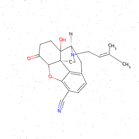 CC(C)=CCN1CC[C@]23c4c5ccc(C#N)c4OC2C(=O)CCC3(O)[C@H]1C5